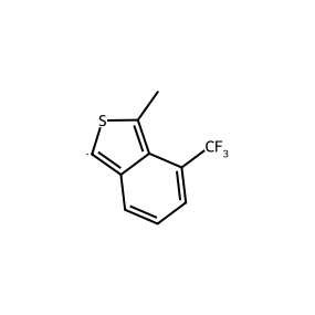 Cc1s[c]c2cccc(C(F)(F)F)c12